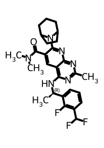 Cc1nc(N[C@H](C)c2cccc(C(F)F)c2F)c2cc(C(=O)N(C)C)c(N3C4CCCC3CC4)nc2n1